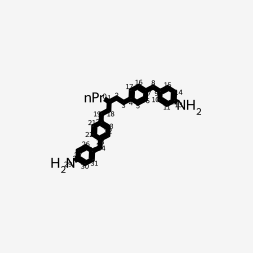 CCCC(CCc1ccc(Cc2ccc(N)cc2)cc1)CCc1ccc(Cc2ccc(N)cc2)cc1